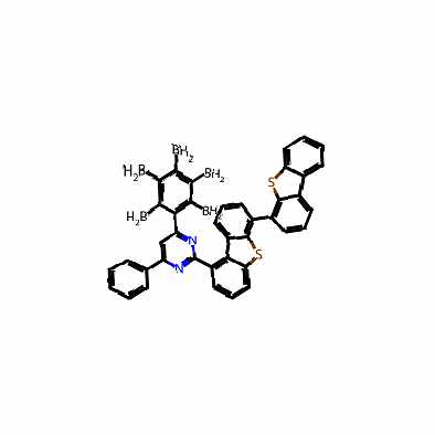 Bc1c(B)c(B)c(-c2cc(-c3ccccc3)nc(-c3cccc4sc5c(-c6cccc7c6sc6ccccc67)cccc5c34)n2)c(B)c1B